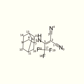 N#CC(C#N)=C(NC12CC3CC(CC(C3)C1)C2)C(F)(F)F